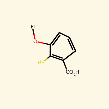 CCOc1cccc(C(=O)O)c1S